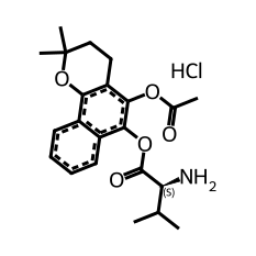 CC(=O)Oc1c2c(c3ccccc3c1OC(=O)[C@@H](N)C(C)C)OC(C)(C)CC2.Cl